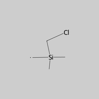 [CH2][Si](C)(C)CCl